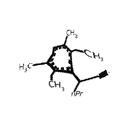 [C]#CC(CCC)c1c(C)c(C)cc(C)c1C